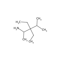 CCC(CC)(C(C)C)C(C)N